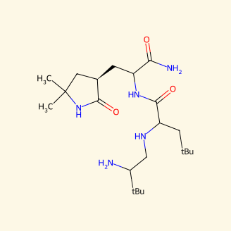 CC(C)(C)CC(NCC(N)C(C)(C)C)C(=O)NC(C[C@@H]1CC(C)(C)NC1=O)C(N)=O